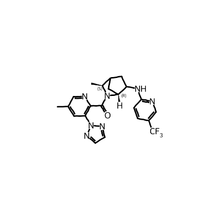 Cc1cnc(C(=O)N2[C@@H]3CC(CC3Nc3ccc(C(F)(F)F)cn3)[C@@H]2C)c(-n2nccn2)c1